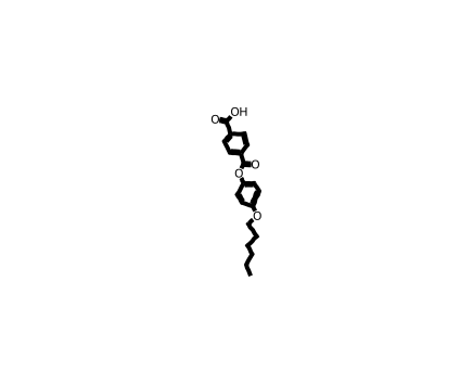 CCCCCCOc1ccc(OC(=O)c2ccc(C(=O)O)cc2)cc1